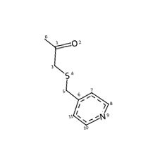 CC(=O)CSCc1ccncc1